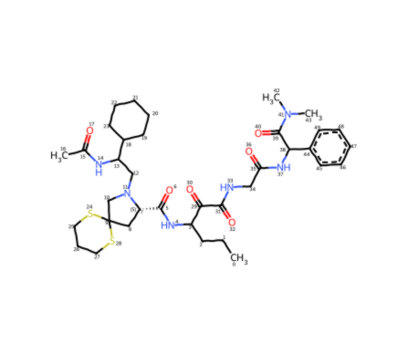 CCCC(NC(=O)[C@@H]1CC2(CN1CC(NC(C)=O)C1CCCCC1)SCCCS2)C(=O)C(=O)NCC(=O)NC(C(=O)N(C)C)c1ccccc1